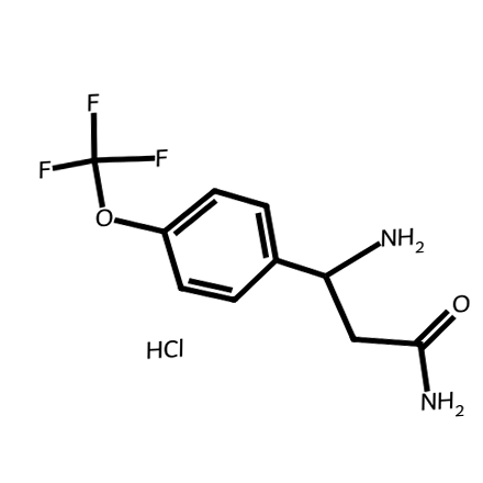 Cl.NC(=O)CC(N)c1ccc(OC(F)(F)F)cc1